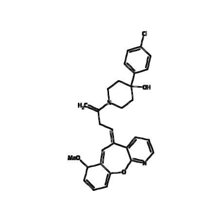 C=C(CC=C1C=C2C(=CC=CC2OC)Oc2ncccc21)N1CCC(O)(c2ccc(Cl)cc2)CC1